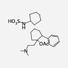 CC(=O)OC1(CCN(C)C)CCCCC1c1ccccc1.O=S(=O)(O)NC1CCCCC1